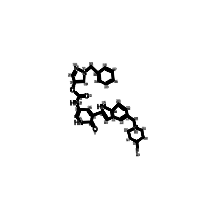 O=C(Nc1c[nH]c(=O)c(-c2cc3cc(CN4CCC(F)CC4)ccc3[nH]2)c1)Oc1cnn(Cc2ccccc2)c1